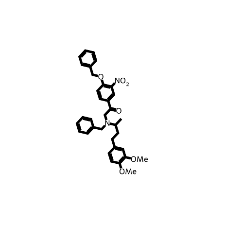 COc1ccc(CCC(C)N(CC(=O)c2ccc(OCc3ccccc3)c([N+](=O)[O-])c2)Cc2ccccc2)cc1OC